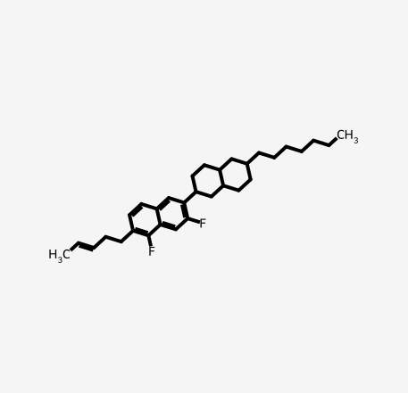 CC=CCCc1ccc2cc(C3CCC4CC(CCCCCCC)CCC4C3)c(F)cc2c1F